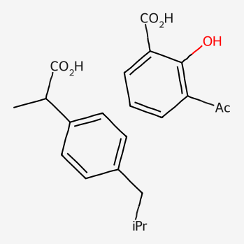 CC(=O)c1cccc(C(=O)O)c1O.CC(C)Cc1ccc(C(C)C(=O)O)cc1